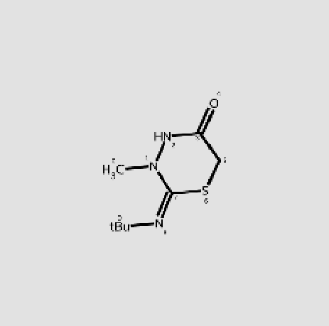 CN1NC(=O)CSC1=NC(C)(C)C